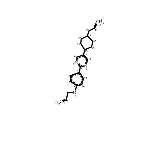 C=CCOc1ccc(-c2ncc(C3CCC(CC=C)CC3)cn2)cc1